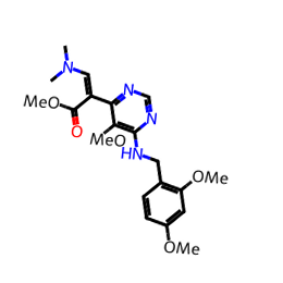 COC(=O)/C(=C\N(C)C)c1ncnc(NCc2ccc(OC)cc2OC)c1OC